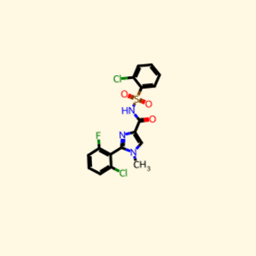 Cn1cc(C(=O)NS(=O)(=O)c2ccccc2Cl)nc1-c1c(F)cccc1Cl